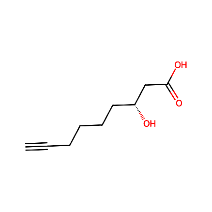 C#CCCCC[C@@H](O)CC(=O)O